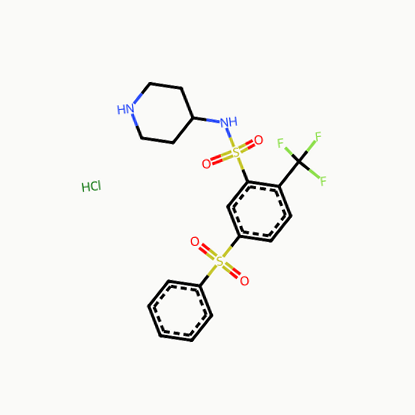 Cl.O=S(=O)(NC1CCNCC1)c1cc(S(=O)(=O)c2ccccc2)ccc1C(F)(F)F